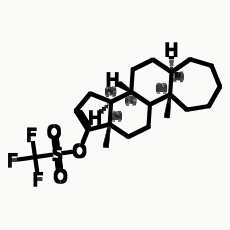 C[C@]12CCC3[C@@H](CC[C@H]4CCCCC[C@]34C)[C@@H]1CC=C2OS(=O)(=O)C(F)(F)F